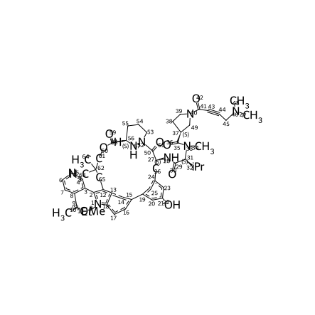 CCn1c(-c2cnccc2[C@H](C)OC)c2c3cc(ccc31)-c1cc(O)cc(c1)C[C@H](NC(=O)[C@H](C(C)C)N(C)C(=O)[C@H]1CCN(C(=O)C#CCN(C)C)C1)C(=O)N1CCC[C@H](N1)C(=O)OCC(C)(C)C2